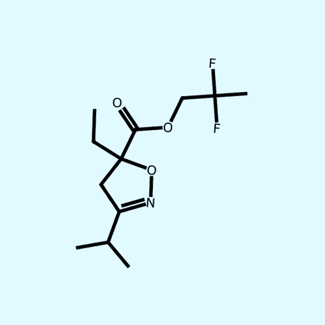 CCC1(C(=O)OCC(C)(F)F)CC(C(C)C)=NO1